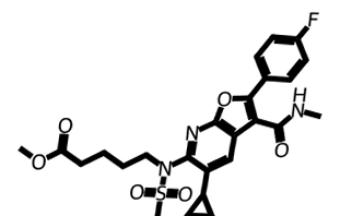 CNC(=O)c1c(-c2ccc(F)cc2)oc2nc(N(CCCCC(=O)OC)S(C)(=O)=O)c(C3CC3)cc12